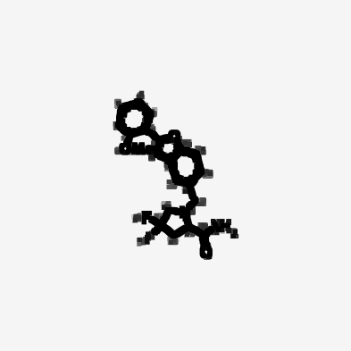 COc1ccccc1-c1cc2cc(CN3CC(F)(F)CC3C(N)=O)ccc2o1